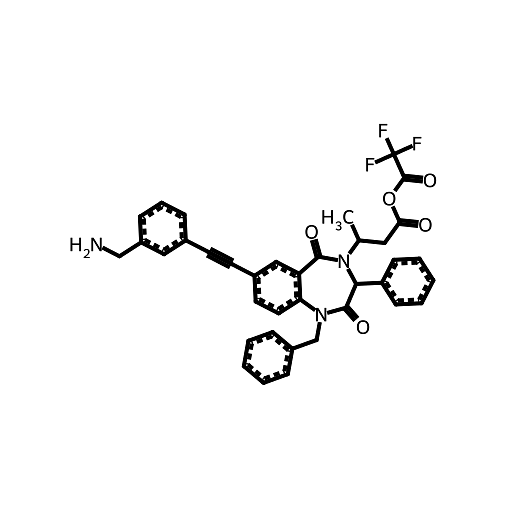 CC(CC(=O)OC(=O)C(F)(F)F)N1C(=O)c2cc(C#Cc3cccc(CN)c3)ccc2N(Cc2ccccc2)C(=O)C1c1ccccc1